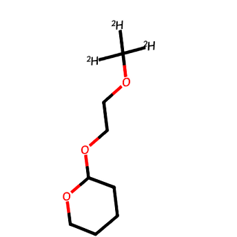 [2H]C([2H])([2H])OCCOC1CCCCO1